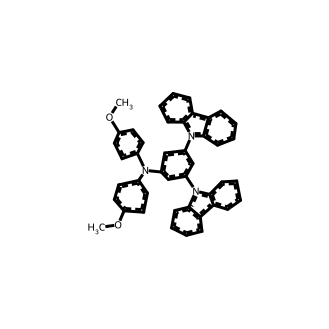 COc1ccc(N(c2ccc(OC)cc2)c2cc(-n3c4ccccc4c4ccccc43)cc(-n3c4ccccc4c4ccccc43)c2)cc1